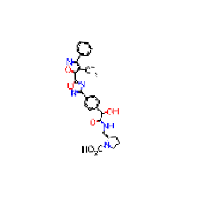 O=C(NCC1CCCN1C(=O)O)C(O)c1ccc(-c2noc(-c3onc(-c4ccccc4)c3C(F)(F)F)n2)cc1